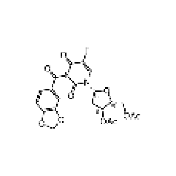 CC(=O)OC[C@H]1O[C@@H](n2cc(F)c(=O)n(C(=O)c3ccc4c(c3)OCO4)c2=O)C[C@@H]1OC(C)=O